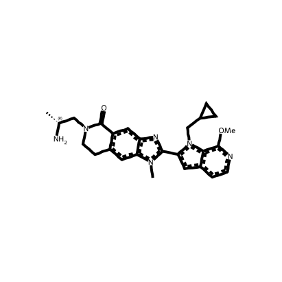 COc1nccc2cc(-c3nc4cc5c(cc4n3C)CCN(C[C@@H](C)N)C5=O)n(CC3CC3)c12